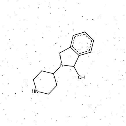 OC1c2ccccc2CN1C1CCNCC1